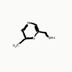 Cc1cncc(CC(C)(C)C)n1